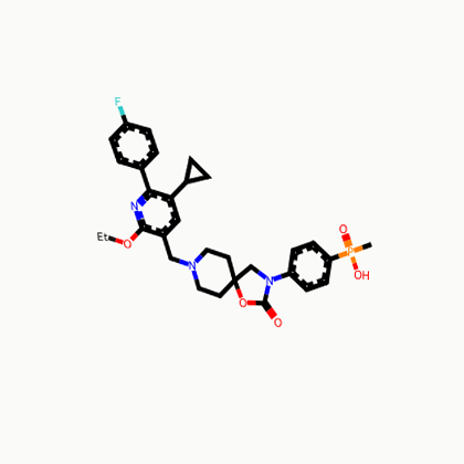 CCOc1nc(-c2ccc(F)cc2)c(C2CC2)cc1CN1CCC2(CC1)CN(c1ccc(P(C)(=O)O)cc1)C(=O)O2